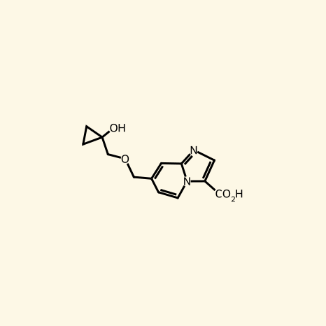 O=C(O)c1cnc2cc(COCC3(O)CC3)ccn12